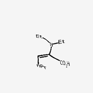 CCC/C=C(\C(=O)O)N(CC)CC